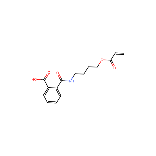 C=CC(=O)OCCCCNC(=O)c1ccccc1C(=O)O